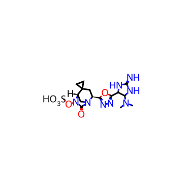 CN(C)C1NC(=N)NC1c1nnc([C@@H]2CC3(CC3)[C@@H]3CN2C(=O)N3OS(=O)(=O)O)o1